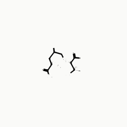 CC(CN[C@H](C(=O)O)[C@@H](C)O)C[C@H](N)C(=O)O